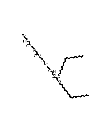 CCCCCCCC/C=C\CCCCCCCCOCC(OCCCCCCCC/C=C\CCCCCCCC)C(=O)NCCOCCOCCOCCOC(=O)CNCCOC(=O)CNCCOC